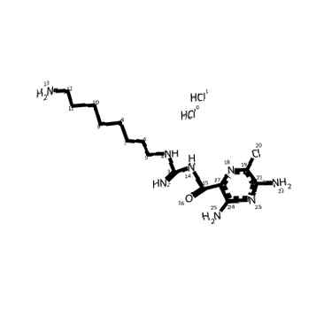 Cl.Cl.N=C(NCCCCCCCCN)NC(=O)c1nc(Cl)c(N)nc1N